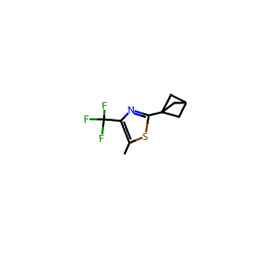 Cc1sc(C23CC(C2)C3)nc1C(F)(F)F